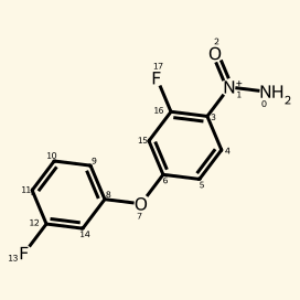 N[N+](=O)c1ccc(Oc2cc[c]c(F)c2)cc1F